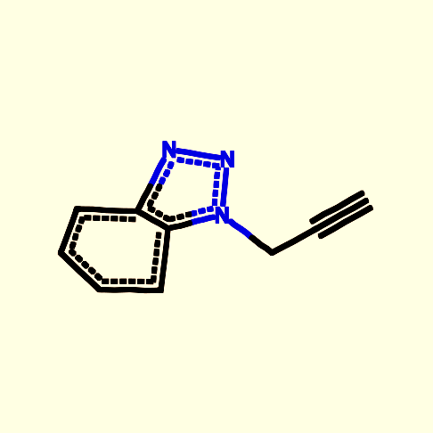 C#CCn1nnc2ccccc21